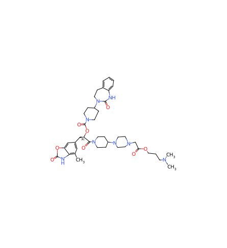 Cc1cc(C[C@@H](OC(=O)N2CCC(N3CCc4ccccc4NC3=O)CC2)C(=O)N2CCC(N3CCN(CC(=O)OCCCN(C)C)CC3)CC2)cc2oc(=O)[nH]c12